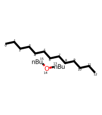 CCCCCCCCCCCCC.CCCCOCCCC